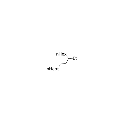 [CH2]CCCCCCCCC(CC)CCCCCC